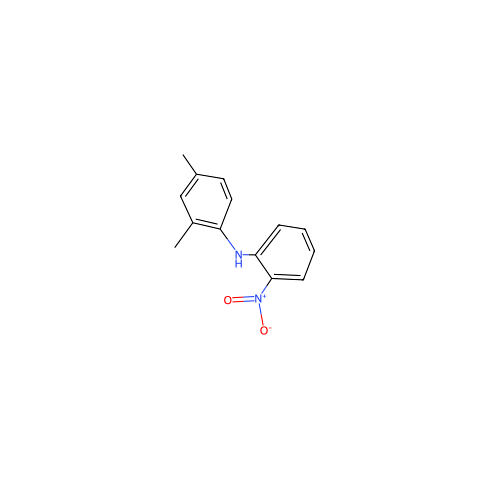 Cc1ccc(Nc2ccccc2[N+](=O)[O-])c(C)c1